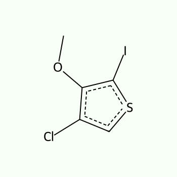 COc1c(Cl)csc1I